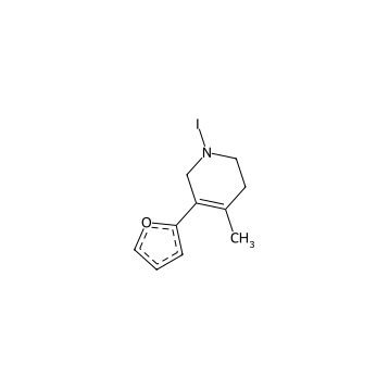 CC1=C(c2ccco2)CN(I)CC1